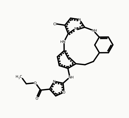 CCOC(=O)c1coc(Nc2ccc3cc2CCC2C=CC=C(C2)Nc2ncc(Cl)c(n2)N3)n1